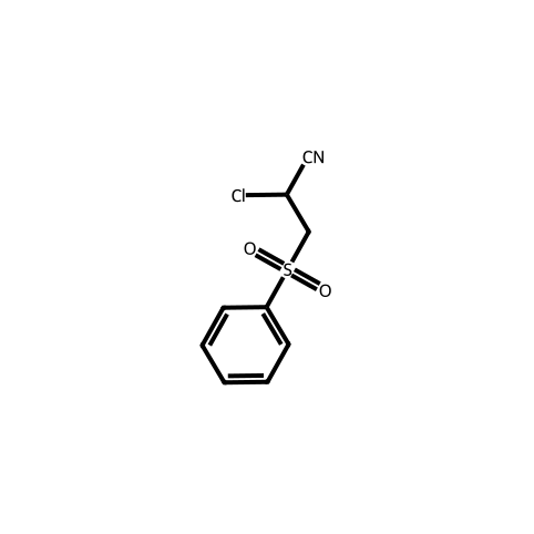 N#CC(Cl)CS(=O)(=O)c1ccccc1